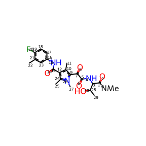 CNC(=O)C(NC(=O)C(=O)c1c(C)c(C(=O)Nc2ccc(F)c(C)c2)c(C)n1C)C(C)O